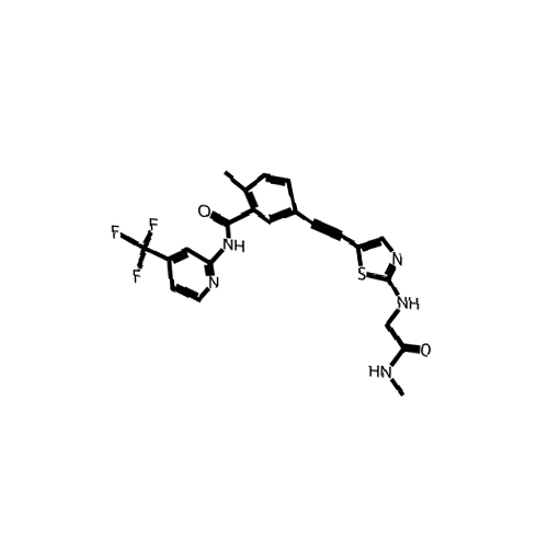 CNC(=O)CNc1ncc(C#Cc2ccc(C)c(C(=O)Nc3cc(C(F)(F)F)ccn3)c2)s1